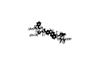 COC[C@H]1C[C@@H](c2ncc(-c3ccc4c(c3)COc3cc5c(ccc6nc([C@@H]7CC8C(C)C8N7C(=O)[C@@H](NC(=O)OC)C(C)C)[nH]c65)cc3-4)[nH]2)N(C(=O)[C@H](NC(=O)OC)c2ccccc2)C1